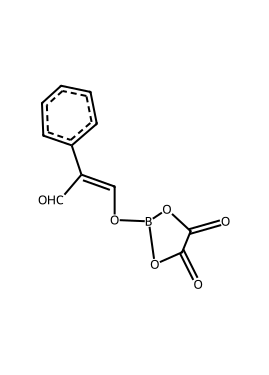 O=CC(=COB1OC(=O)C(=O)O1)c1ccccc1